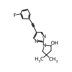 CC1(C)CC(O)N(c2ncc(C#Cc3cccc(F)c3)cn2)C1